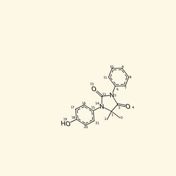 CC1(C)C(=O)N(c2ccccc2)C(=O)N1c1ccc(O)cc1